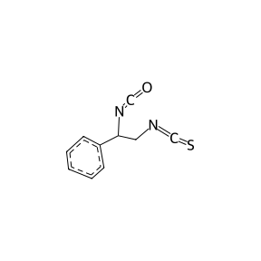 O=C=NC(CN=C=S)c1ccccc1